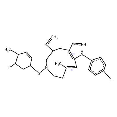 C=CC1C/C(C=N)=C(Nc2ccc(F)cc2)\C=C(/C)CCN(SC2C=CC(C)C(F)C2)C1